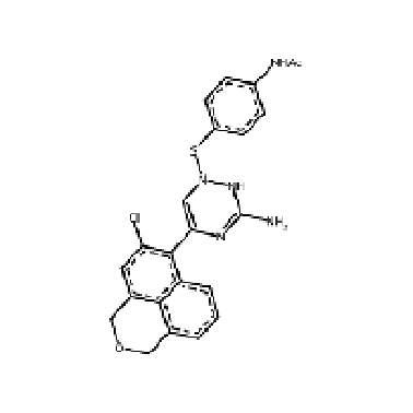 CC(=O)Nc1ccc(SN2C=C(c3c(Cl)cc4c5c(cccc35)COC4)N=C(N)N2)cc1